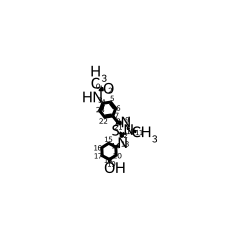 CC(=O)Nc1ccc(-c2nn(C)/c(=N/C3CCCC(O)C3)s2)cc1